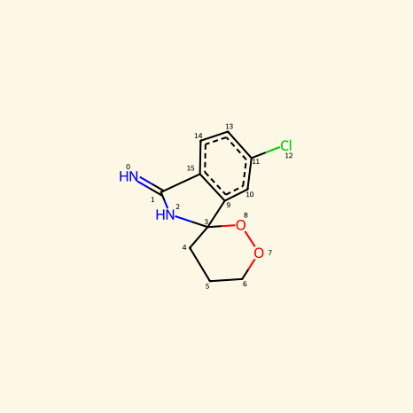 N=C1NC2(CCCOO2)c2cc(Cl)ccc21